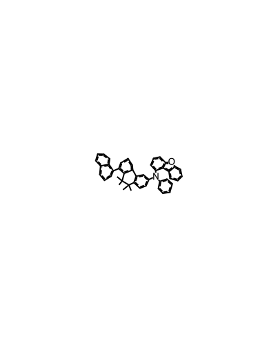 CC1(C)c2ccc(N(c3ccccc3)c3cccc4oc5ccccc5c34)cc2-c2cccc(-c3cccc4ccccc34)c2C1(C)C